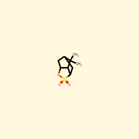 CC1(C)C2CC3OS(=O)(=O)C(C2)C31